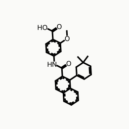 COc1cc(NC(=O)c2ccc3ccccc3c2C2=CC=CC(C)(C)C2)ccc1C(=O)O